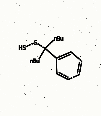 CCCCC(CCCC)(SS)c1ccccc1